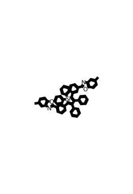 Cc1ccc2oc(-c3cccc(C4=C(c5ccccc5)C(c5ccccc5)=C(c5cccc(-c6nc7cc(C)ccc7o6)c5)[Si]4(c4ccccc4)c4ccccc4)c3)nc2c1